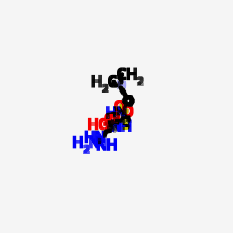 C=C/C=C(/C#Cc1cccc(S(=O)(=O)Nc2ccsc2C(=O)N[C@@H](CCCNC(=N)N)C(=O)O)c1)C=C